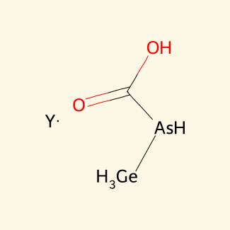 O=C(O)[AsH][GeH3].[Y]